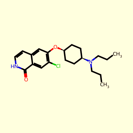 CCCN(CCC)[C@H]1CC[C@@H](Oc2cc3cc[nH]c(=O)c3cc2Cl)CC1